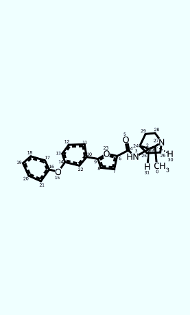 C[C@H]1[C@H](NC(=O)c2ccc(-c3cccc(Oc4ccccc4)c3)o2)C2CCN1CC2